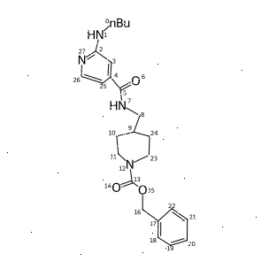 CCCCNc1cc(C(=O)NCC2CCN(C(=O)OCc3ccccc3)CC2)ccn1